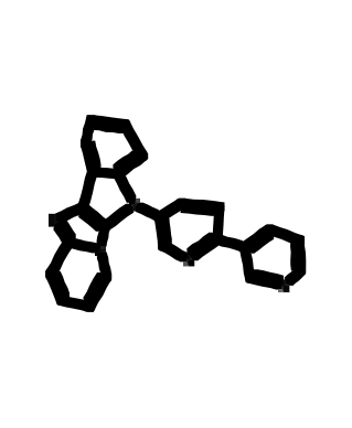 c1cncc(-c2ccc(-n3c4ccccc4c4nc5ccccn5c43)cn2)c1